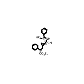 CCOC(=O)[C@H](CC1C[C@H]1[C@@H](C#N)N[C@@H](CO)c1ccccc1)c1ccccc1